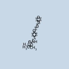 CC(C)(C)OC(=O)NCCc1ccc(OCCOCCN2CCOCC2)cc1